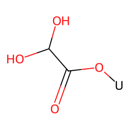 O=C([O][U])C(O)O